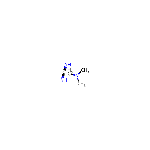 CN(C)C.N=C=N